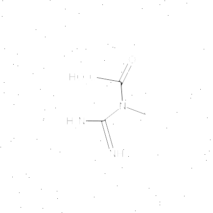 CN(C(=N)N)C(=O)C(=O)O